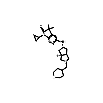 CC1(C)C(=O)N(C2CC2)c2nnc(N[C@@H]3CC4CN(CC5CCOCC5)C[C@H]4C3)cc21